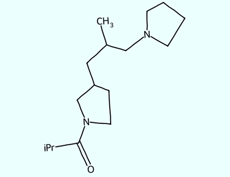 CC(CC1CCN(C(=O)C(C)C)C1)CN1CCCC1